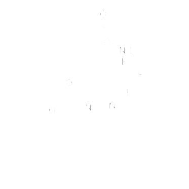 COCCn1c(-c2ccc(C(C)C)cc2)nc2c(C(F)(F)F)c(CNc3ccccc3S(C)(=O)=O)cc(OC)c21